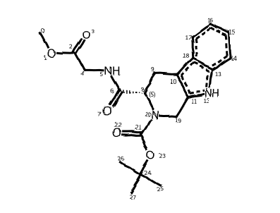 COC(=O)CNC(=O)[C@@H]1Cc2c([nH]c3ccccc23)CN1C(=O)OC(C)(C)C